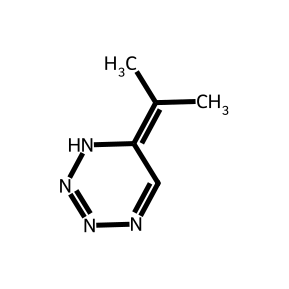 CC(C)=C1C=NN=NN1